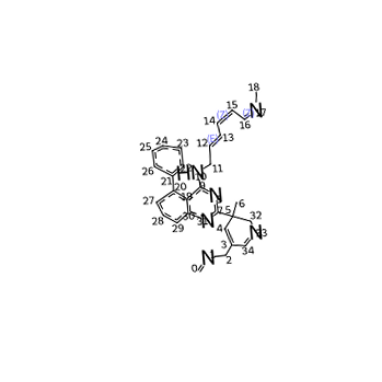 C=NCC1=CC(C)(c2nc(NC/C=C/C=C\C=N/C)c3c(-c4ccccc4)cccc3n2)CN=C1